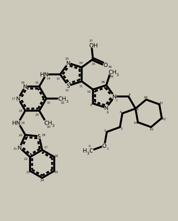 COCCCC1(Cn2ncc(-c3sc(Nc4nnc(Nc5nc6ccccc6s5)c(C)c4C)nc3C(=O)O)c2C)CCCCC1